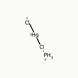 P.[Cl][Hg][Cl]